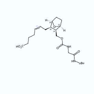 CCCCNC(=O)CNC(=O)OC[C@H]1[C@@H](C/C=C\CCCC(=O)O)[C@H]2CC[C@@H]1O2